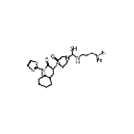 CCN(CC)CCCNC(S)N1CCN([C@@H](CC2CCCCC2)C(=O)Nc2nccs2)C(=O)C1